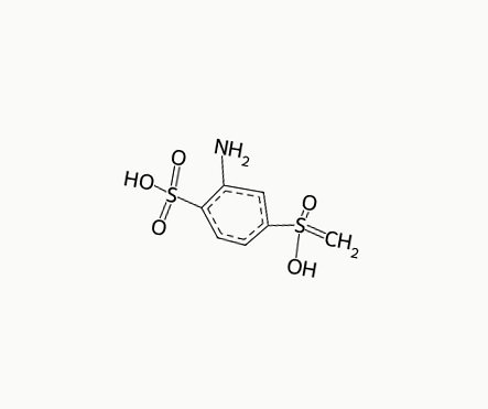 C=S(=O)(O)c1ccc(S(=O)(=O)O)c(N)c1